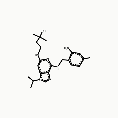 Cc1ccc(CNc2nc(NCCC(C)(C)O)nc3c2ncn3C(C)C)c(N)c1